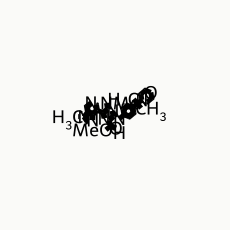 CNc1nc(Nc2ccc(C(C)(C)N3CCOCC3)cc2)c(C(=O)OC)nc1-c1cncc2c1ncn2C